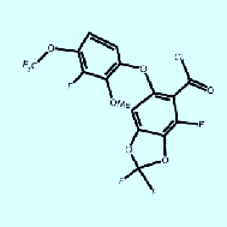 COc1c(Oc2cc3c(c(F)c2C(=O)Cl)OC(F)(F)O3)ccc(OC(F)(F)F)c1F